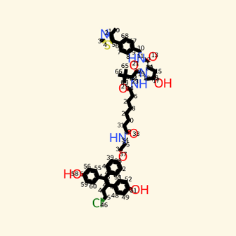 Cc1ncsc1-c1ccc(CNC(=O)[C@@H]2C[C@@H](O)CN2C(=O)[C@@H](NC(=O)CCCCCCC(=O)NCCOc2ccc(C(=C(CCCl)c3ccc(O)cc3)c3ccc(O)cc3)cc2)C(C)(C)C)cc1